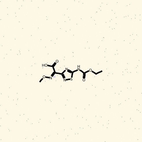 CCOC(=O)Nc1nc(/C(=N/OC)C(=O)O)ns1